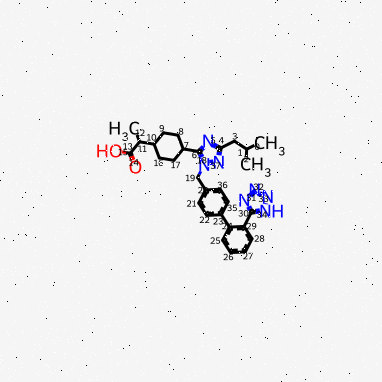 CC(C)Cc1nc(C2CCC(C(C)C(=O)O)CC2)n(Cc2ccc(-c3ccccc3-c3nnn[nH]3)cc2)n1